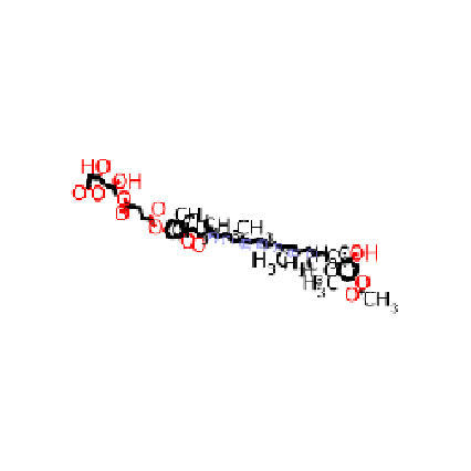 CC(=O)OC1CC(C)(C)C(=C=C/C(C)=C/C=C/C(C)=C/C=C/C=C(C)/C=C/C=C(\C)C(=O)CC23OC2(C)CC(OC(=O)CCC(=O)OCC(O)C2OC(=O)C=C2O)CC3(C)C)[C@@](C)(O)C1